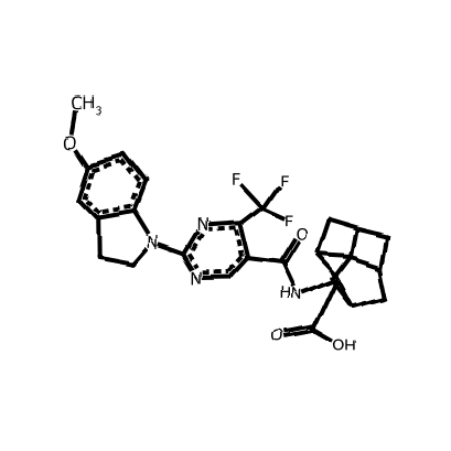 COc1ccc2c(c1)CCN2c1ncc(C(=O)NC2(C(=O)O)C3CC4CC5CC2C45C3)c(C(F)(F)F)n1